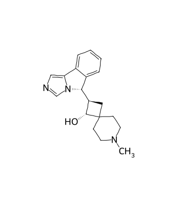 CN1CCC2(CC1)C[C@H]([C@H]1c3ccccc3-c3cncn31)[C@H]2O